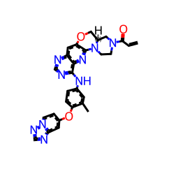 C=CC(=O)N1CCN2c3nc4c(Nc5ccc(Oc6ccn7ncnc7c6)c(C)c5)ncnc4cc3OC[C@H]2C1